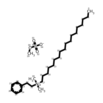 CCCCCCCCCCCCCCCCCC[N+](C)(C)CCc1ccccc1.COS(=O)(=O)[O-]